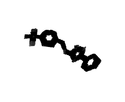 CS(=O)(=O)c1ccc(CSc2nnc(-c3ccccc3)o2)cc1